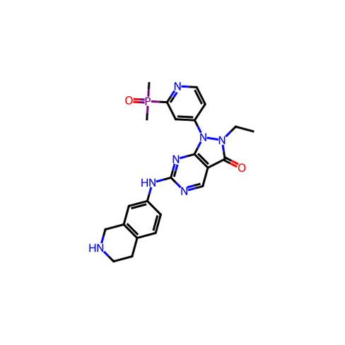 CCn1c(=O)c2cnc(Nc3ccc4c(c3)CNCC4)nc2n1-c1ccnc(P(C)(C)=O)c1